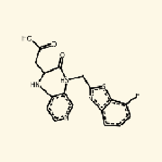 O=C(O)CC1Nc2ccncc2[SH](Cc2nc3cccc(F)c3s2)C1=O